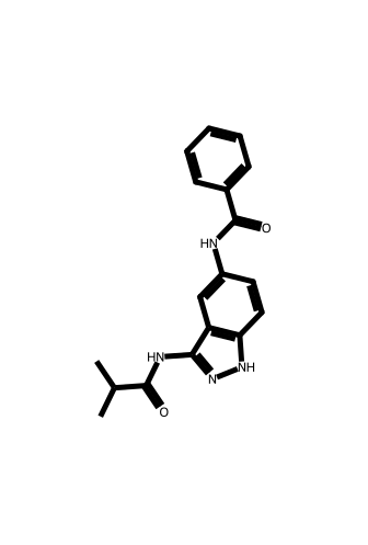 CC(C)C(=O)Nc1n[nH]c2ccc(NC(=O)c3ccccc3)cc12